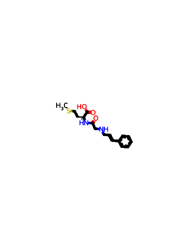 CSCC[C@H](NC(=O)CNCC=Cc1ccccc1)C(=O)O